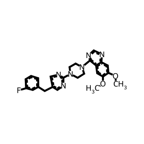 COc1cc2ncnc(N3CCN(c4ncc(Cc5cccc(F)c5)cn4)CC3)c2cc1OC